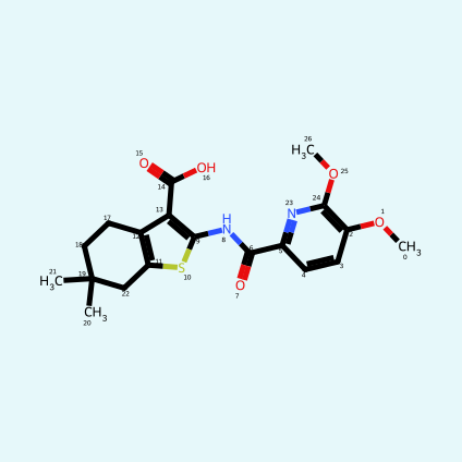 COc1ccc(C(=O)Nc2sc3c(c2C(=O)O)CCC(C)(C)C3)nc1OC